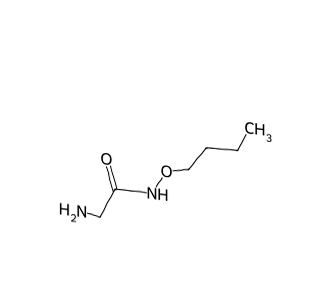 CCCCONC(=O)CN